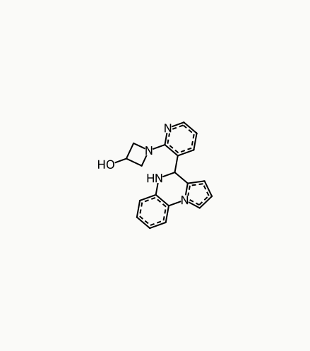 OC1CN(c2ncccc2C2Nc3ccccc3-n3cccc32)C1